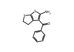 Nc1sc2c(c1C(=O)c1ccccc1)CCS2